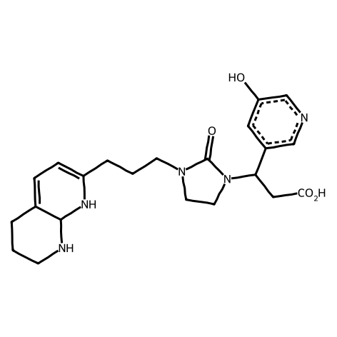 O=C(O)CC(c1cncc(O)c1)N1CCN(CCCC2=CC=C3CCCNC3N2)C1=O